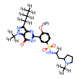 [2H]C(CC1CCCN1C([2H])([2H])[2H])NS(=O)(=O)c1ccc(OCCC)c(-c2nc3c(C([2H])([2H])C([2H])([2H])C([2H])([2H])[2H])nn(C([2H])([2H])[2H])c3c(=O)[nH]2)c1